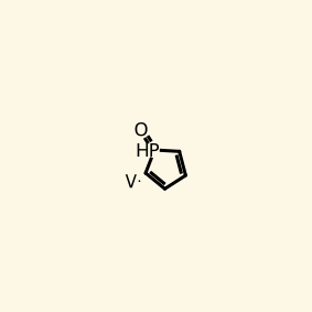 O=[PH]1C=CC=C1.[V]